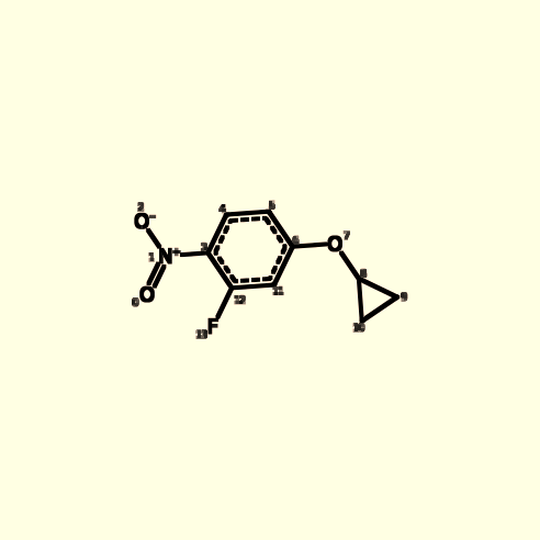 O=[N+]([O-])c1ccc(OC2CC2)cc1F